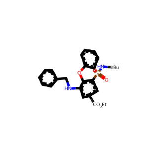 CCCCNS(=O)(=O)c1cc(C(=O)OCC)cc(NCc2ccccc2)c1Oc1ccccc1